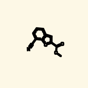 COC(=O)c1cc2cccc(C#N)c2o1